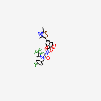 Cc1nc(C)c(-c2ccc3c(c2)CC(=O)[C@]32OCN(CC(=O)N(Cc3ccc(F)cc3)C(C)C(F)(F)F)C2=O)s1